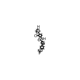 O=C(Nc1ccc(C2CNCCO2)c(Cl)c1)c1cnn(-c2ccc(OC(F)F)cc2)c1